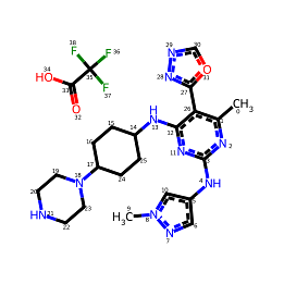 Cc1nc(Nc2cnn(C)c2)nc(NC2CCC(N3CCNCC3)CC2)c1-c1nnco1.O=C(O)C(F)(F)F